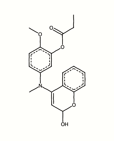 CCC(=O)Oc1cc(N(C)C2=CC(O)Oc3ccccc32)ccc1OC